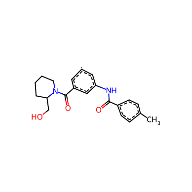 Cc1ccc(C(=O)Nc2c[c]cc(C(=O)N3CCCCC3CO)c2)cc1